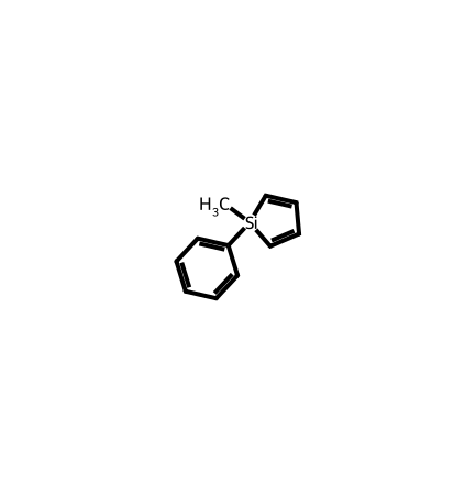 C[Si]1(c2ccccc2)C=CC=C1